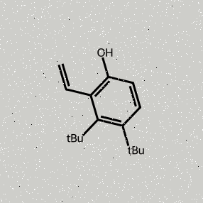 C=Cc1c(O)ccc(C(C)(C)C)c1C(C)(C)C